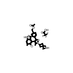 CC(=O)OCc1ccc(-c2nn(C3CC4(CNC4)C3)c(C)c2-c2c(Cl)c(C)cc3[nH]ncc23)cc1.O=C(O)C(F)(F)F